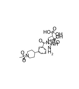 CS(=O)(=O)N1CCC(c2cccc(C(=O)N(CC(P(=O)(O)O)P(=O)(O)O)C(=N)N)c2)CC1